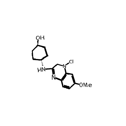 COc1ccc2c(c1)N(Cl)CC(N[C@H]1CC[C@H](O)CC1)=N2